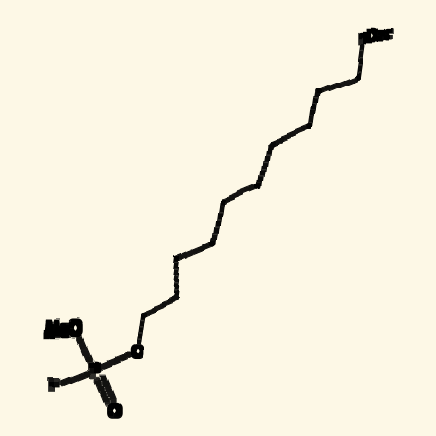 CCCCCCCCCCCCCCCCCCCCOP(=O)(F)OC